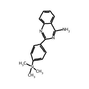 C[Si](C)(C)c1ccc(-c2nc(N)c3ccccc3n2)cc1